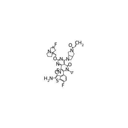 C=CC(=O)N1CC2CN(c3nc(OC[C@@]45CCCN4C[C@H](F)C5)nc4c(F)c(-c5ccc(F)c6sc(N)c(C#N)c56)n(C5CC5)c(=O)c34)C2C1